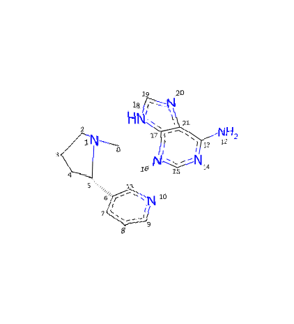 CN1CCC[C@H]1c1cccnc1.Nc1ncnc2[nH]cnc12